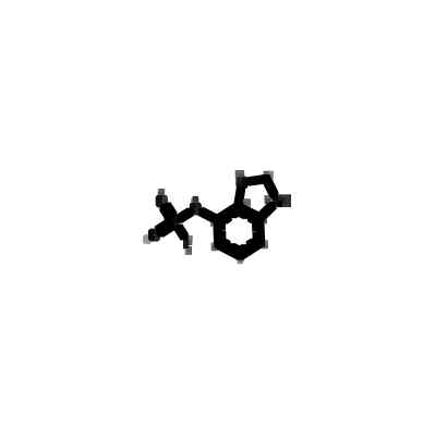 O=S(=O)(F)Oc1cccc2c1OCN2